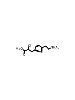 COC(=O)C(Cl)Cc1ccc(CCNC(C)=O)cc1